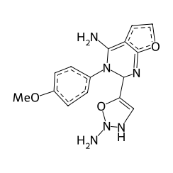 COc1ccc(N2C(N)=c3ccoc3=NC2C2=CNN(N)O2)cc1